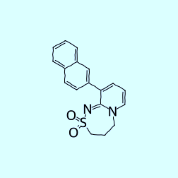 O=S1(=O)CCCN2C=CC=C(c3ccc4ccccc4c3)C2=N1